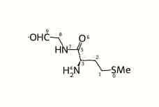 CSCC[C@@H](N)C(=O)NC[C]=O